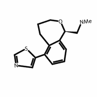 CNC[C@@H]1OCCCc2c(-c3cncs3)cccc21